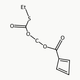 CCSC(=O)OCOC(=O)C1=CC=C1